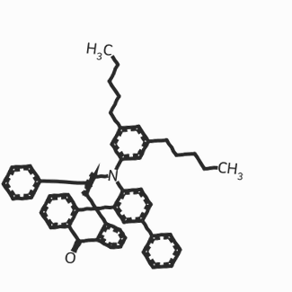 CCCCCc1cc(CCCCC)cc(N2c3ccc(-c4ccccc4)cc3C3(c4ccccc4C(=O)c4ccccc43)c3cc(-c4ccccc4)ccc32)c1